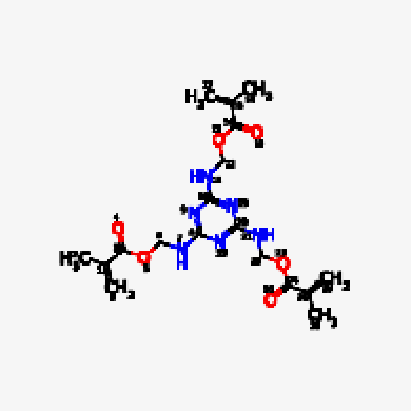 C=C(C)C(=O)OCNc1nc(NCOC(=O)C(=C)C)nc(NCOC(=O)C(=C)C)n1